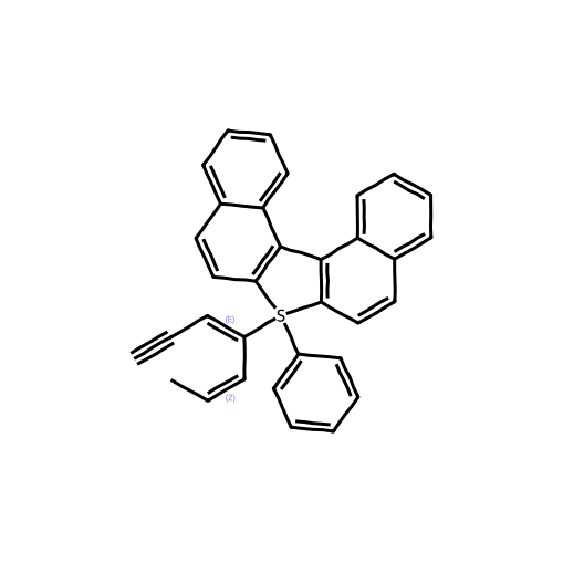 C#C/C=C(\C=C/C)S1(c2ccccc2)c2ccc3ccccc3c2-c2c1ccc1ccccc21